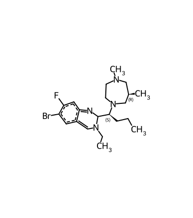 CCC[C@@H](C1N=c2cc(F)c(Br)cc2=CN1CC)N1CCN(C)C[C@@H](C)C1